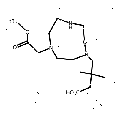 CC(C)(CC(=O)O)CN1CCNCCN(CC(=O)OC(C)(C)C)CC1